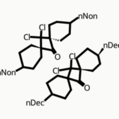 CCCCCCCCCC1CC[C@]2(CC1)C(=O)[C@@]1(CCC(CCCCCCCCC)CC1)C2(Cl)Cl.CCCCCCCCCCC1CCC2(CC1)C(=O)[C@]1(CC[C@H](CCCCCCCCCC)CC1)C2(Cl)Cl